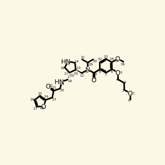 COCCCOc1cc(C(=O)N(C[C@@H]2CNC[C@H]2CNCC(=O)Cc2ccco2)C(C)C)ccc1OC